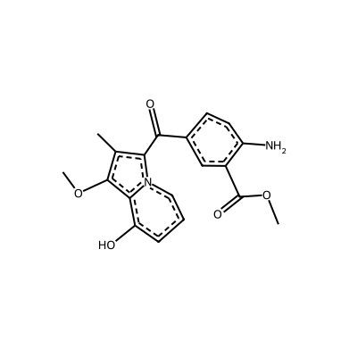 COC(=O)c1cc(C(=O)c2c(C)c(OC)c3c(O)cccn23)ccc1N